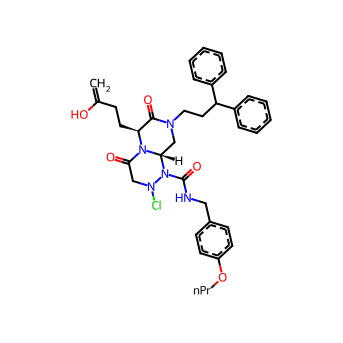 C=C(O)CC[C@H]1C(=O)N(CCC(c2ccccc2)c2ccccc2)C[C@H]2N1C(=O)CN(Cl)N2C(=O)NCc1ccc(OCCC)cc1